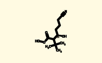 CC(C)(C)C(C(=O)OO)[C@H](O)CCCC#N